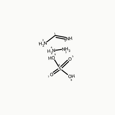 N=CN.NN.O=S(=O)(O)O